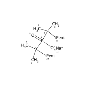 CCCC(C)C(C)(C)P(=O)([O-])C(C)(C)C(C)CCC.[Na+]